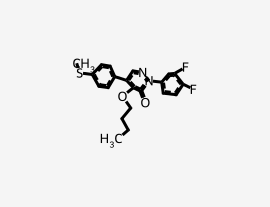 CCCCOc1c(-c2ccc(SC)cc2)cnn(-c2ccc(F)c(F)c2)c1=O